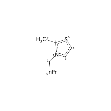 CCCC[n+]1ccsc1C